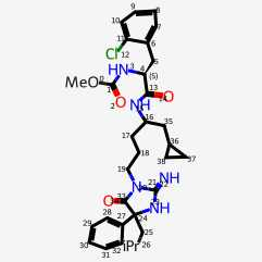 COC(=O)N[C@@H](Cc1ccccc1Cl)C(=O)NC(CCCN1C(=N)NC(CC(C)C)(c2ccccc2)C1=O)CC1CC1